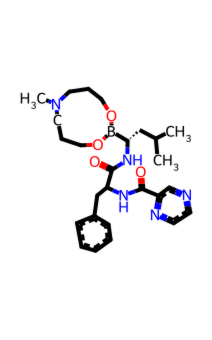 CC(C)C[C@H](NC(=O)C(Cc1ccccc1)NC(=O)c1cnccn1)B1OCCCN(C)CCCO1